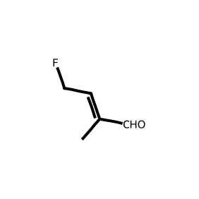 C/C(C=O)=C\CF